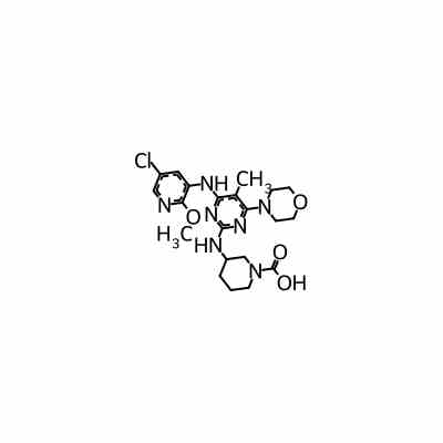 COc1ncc(Cl)cc1Nc1nc(NC2CCCN(C(=O)O)C2)nc(N2CCOCC2)c1C